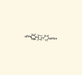 CCCCCC[C@H]1CC[C@H]([C@H]2CC[C@H](c3ccc(CCC)cn3)CC2)CC1